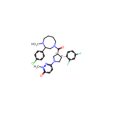 Cn1nc(N2C[C@@H](C(=O)N3CCCCN(C(=O)O)C(c4ccc(Cl)cc4)C3)[C@H](c3ccc(F)cc3F)C2)ccc1=O